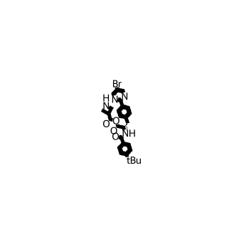 CC(C)(C)c1ccc(C(=O)N[C@@H](Cc2ccc(-c3ncc(Br)cn3)cc2)C(=O)OC(=O)C2CNC2)cc1